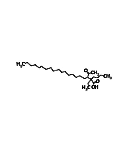 CCCCCCCCCCCCCCCCCC(C(C)=O)C(CC)(CCCC)C(=O)O